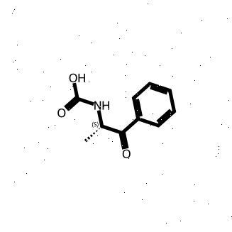 C[C@H](NC(=O)O)C(=O)c1ccccc1